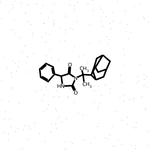 CC(C)(C1C2CC3CC(C2)CC1C3)N1C(=O)NC(c2ccccc2)C1=O